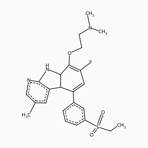 CCS(=O)(=O)c1cccc(C2=CC(F)=C(OCCN(C)C)C3Nc4ncc(C)cc4C23)c1